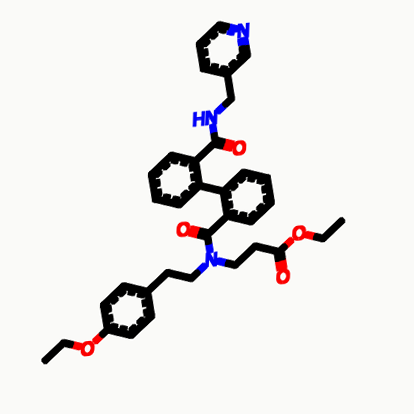 CCOC(=O)CCN(CCc1ccc(OCC)cc1)C(=O)c1ccccc1-c1ccccc1C(=O)NCc1cccnc1